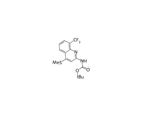 CSc1cc(NC(=O)OC(C)(C)C)nc2c(C(F)(F)F)cccc12